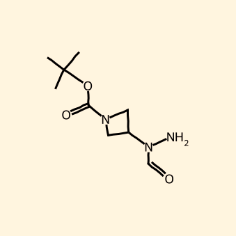 CC(C)(C)OC(=O)N1CC(N(N)C=O)C1